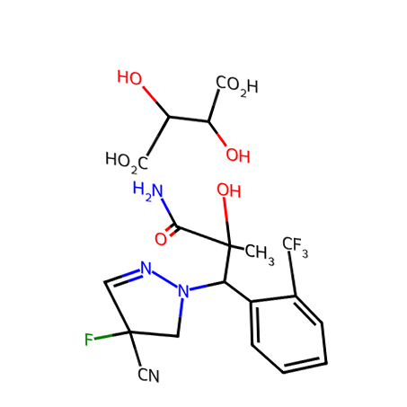 CC(O)(C(N)=O)C(c1ccccc1C(F)(F)F)N1CC(F)(C#N)C=N1.O=C(O)C(O)C(O)C(=O)O